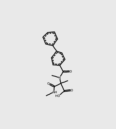 CNC(=O)C(C)(C(=O)O)N(C)C(=O)c1ccc(-c2ccccc2)cc1